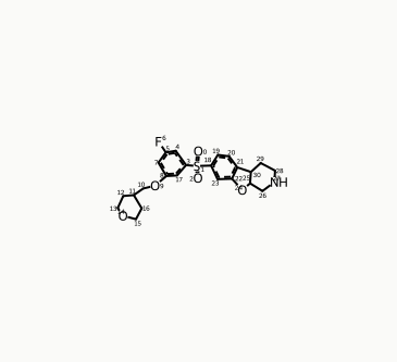 O=S(=O)(c1cc(F)cc(OCC2CCOCC2)c1)c1ccc2c(c1)OC1CNCCC21